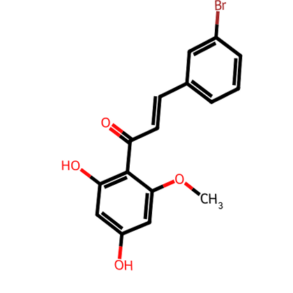 COc1cc(O)cc(O)c1C(=O)C=Cc1cccc(Br)c1